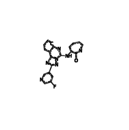 O=c1nccccc1Nc1nc2ccccc2c2nc(-c3cncc(F)c3)nn12